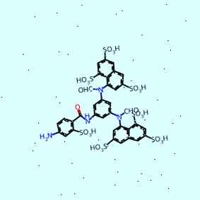 Nc1ccc(C(=O)Nc2cc(N(C=O)c3cc(S(=O)(=O)O)cc4cc(S(=O)(=O)O)cc(S(=O)(=O)O)c34)cc(N(C=O)c3cc(S(=O)(=O)O)cc4cc(S(=O)(=O)O)cc(S(=O)(=O)O)c34)c2)c(S(=O)(=O)O)c1